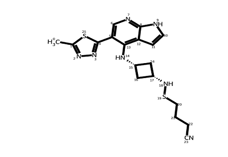 Cc1nnc(-c2cnc3[nH]ccc3c2N[C@H]2C[C@@H](NSCCCC#N)C2)s1